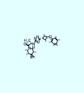 C[C@H](Nc1nnc([C@H]2C[C@H](Oc3ccccc3)C2)o1)C(=O)N1CCC2(CC1)CC2